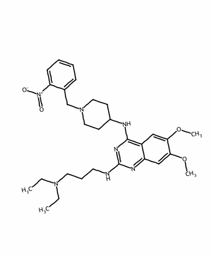 CCN(CC)CCCNc1nc(NC2CCN(Cc3ccccc3[N+](=O)[O-])CC2)c2cc(OC)c(OC)cc2n1